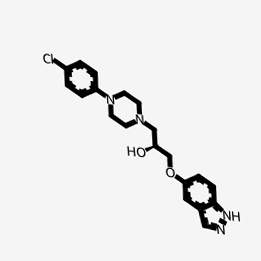 O[C@H](COc1ccc2[nH]ncc2c1)CN1CCN(c2ccc(Cl)cc2)CC1